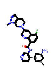 C[C@@H]1C[C@H](N)C[C@H](c2ccncc2NC(=O)c2ccc(F)c3cc(N4CCc5cnn(C)c5C4)cnc23)C1